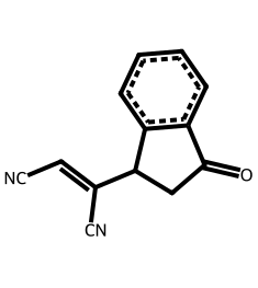 N#CC=C(C#N)C1CC(=O)c2ccccc21